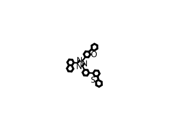 c1cc(-c2nc(-c3ccc4c(c3)oc3ccccc34)nc(-c3cccc4ccccc34)n2)cc(-c2cccc3c2sc2ccccc23)c1